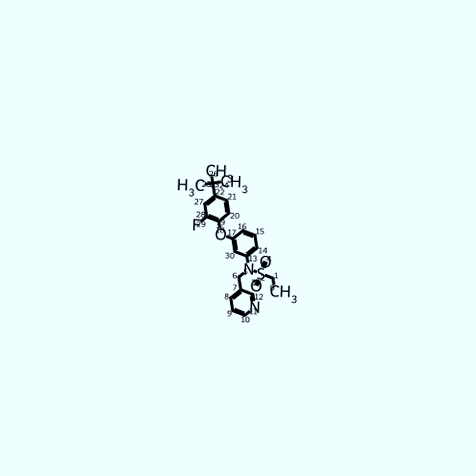 CCS(=O)(=O)N(Cc1cccnc1)c1cccc(Oc2ccc(C(C)(C)C)cc2F)c1